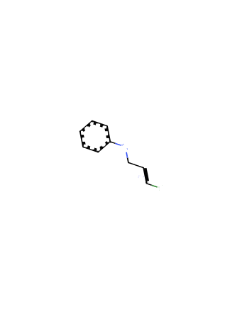 Cl/C=C/CNc1ccccc1